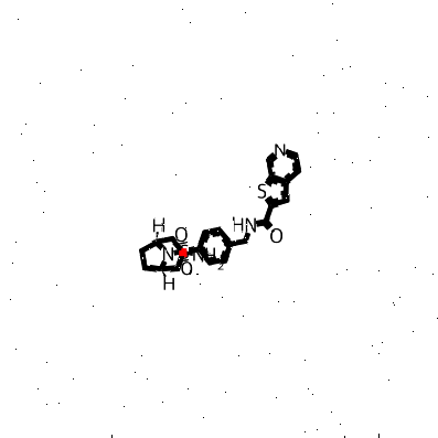 N[C@H]1C[C@H]2CC[C@@H](C1)N2S(=O)(=O)c1ccc(CNC(=O)c2cc3ccncc3s2)cc1